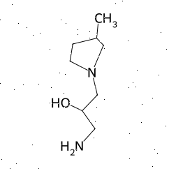 CC1CCN(CC(O)CN)C1